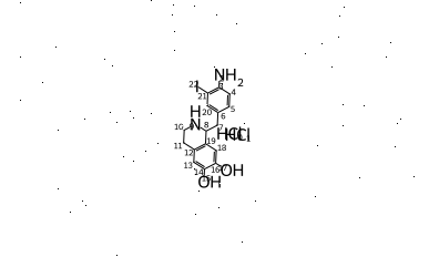 Cl.Cl.Nc1ccc(CC2NCCc3cc(O)c(O)cc32)cc1I